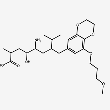 COCCCOc1cc(CC(CC(N)C(O)CC(C)C(=O)O)C(C)C)cc2c1OCCO2